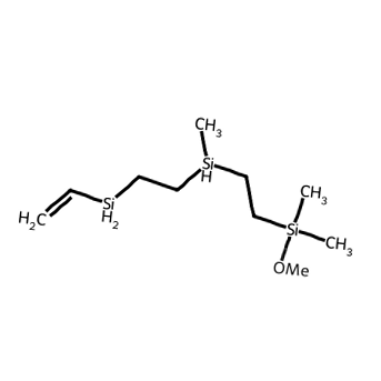 C=C[SiH2]CC[SiH](C)CC[Si](C)(C)OC